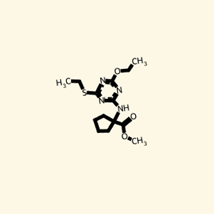 CCOc1nc(NC2(C(=O)OC)CCCC2)nc(SCC)n1